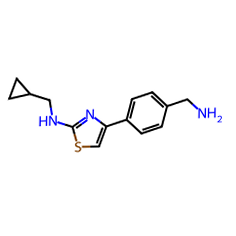 NCc1ccc(-c2csc(NCC3CC3)n2)cc1